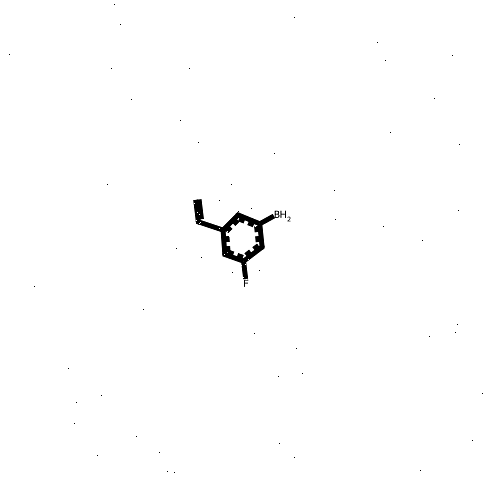 Bc1cc(F)cc(C=C)c1